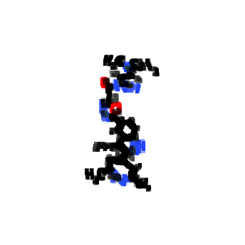 Cc1cc(-c2[nH]c3ccc(-c4nnc(C(=O)NCCN(C)C)o4)cc3c2C(C)C)cc(C)n1